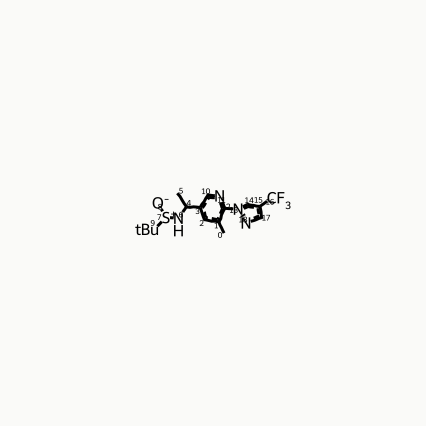 Cc1cc(C(C)N[S+]([O-])C(C)(C)C)cnc1-n1cc(C(F)(F)F)cn1